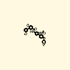 COc1cccc(-c2cc(C(=O)Nc3ccc(-c4ccc(OC5CCN(C)CC5)cc4NC(C)=O)cc3)ccc2OC)c1